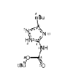 CCCCc1n[nH]c(NC(=O)OC(C)(C)C)n1